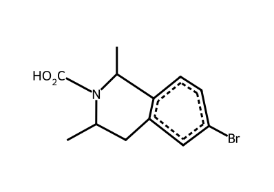 CC1Cc2cc(Br)ccc2C(C)N1C(=O)O